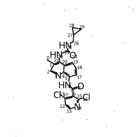 Cc1cnc2c(NC(=O)c3c(Cl)ccnc3Cl)cccc2c1NC(=O)NCC1CC1